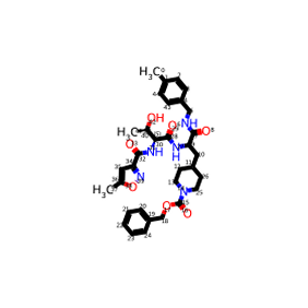 Cc1ccc(CNC(=O)C(CC2CCN(C(=O)OCc3ccccc3)CC2)NC(=O)[C@@H](NC(=O)c2cc(C)on2)[C@@H](C)O)cc1